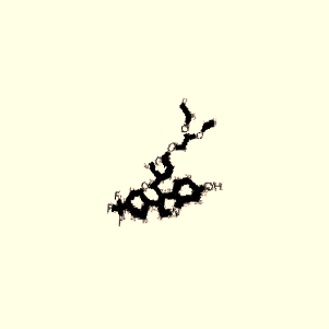 CCOC(COc1ccc(C2Oc3cc(C(F)(F)F)ccc3-c3cnc4cc(O)ccc4c32)cc1)OCC